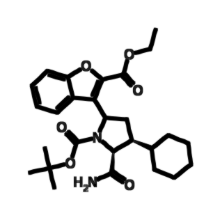 CCOC(=O)c1oc2ccccc2c1C1C[C@@H](C2CCCCC2)[C@@H](C(N)=O)N1C(=O)OC(C)(C)C